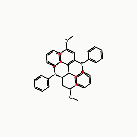 COC1=CC(P(c2ccccc2)c2ccccc2)=C([C@H]2C(OC)=N[C@@H](OC)C[C@H]2P(c2ccccc2)c2ccccc2)[C@H](OC)N1